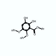 CCCOc1cc(O)c(O)c(C(=O)OC(C)C)c1OCCC